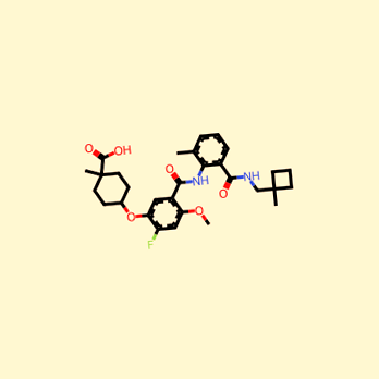 COc1cc(F)c(OC2CCC(C)(C(=O)O)CC2)cc1C(=O)Nc1c(C)cccc1C(=O)NCC1(C)CCC1